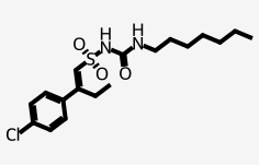 CCCCCCCNC(=O)NS(=O)(=O)C=C(CC)c1ccc(Cl)cc1